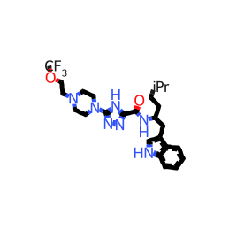 CC(C)CCC(Cc1c[nH]c2ccccc12)NC(=O)c1nnc(N2CCN(CCOC(F)(F)F)CC2)[nH]1